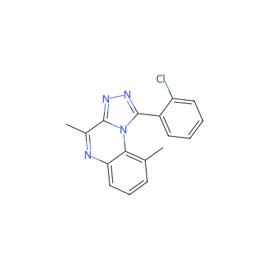 Cc1nc2cccc(C)c2n2c(-c3ccccc3Cl)nnc12